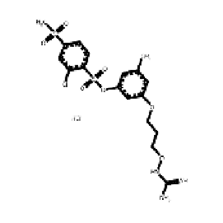 Cc1cc(OCCCONC(=N)N)cc(OS(=O)(=O)c2ccc(S(C)(=O)=O)cc2Cl)c1.Cl